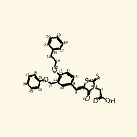 O=C(O)CN1C(=O)/C(=C/c2ccc(OCCc3ccccc3)c(COc3ccccc3)c2)SC1=S